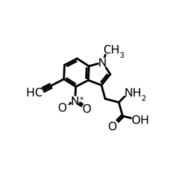 C#Cc1ccc2c(c(CC(N)C(=O)O)cn2C)c1[N+](=O)[O-]